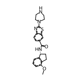 COc1cccc2c1CC[C@H]2NC(=O)c1ccc2nc(N3CCNCC3)sc2c1